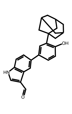 O=Cc1c[nH]c2ccc(-c3ccc(O)c(C45CC6CC(CC(C6)C4)C5)c3)cc12